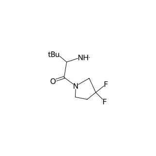 CC(C)(C)C([NH])C(=O)N1CCC(F)(F)C1